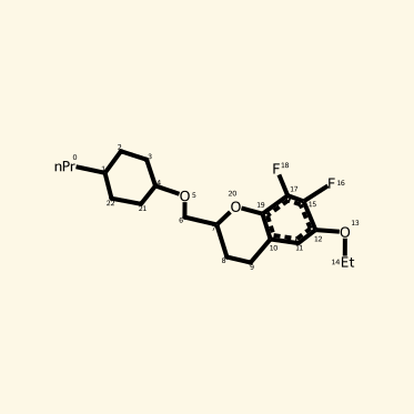 CCCC1CCC(OCC2CCc3cc(OCC)c(F)c(F)c3O2)CC1